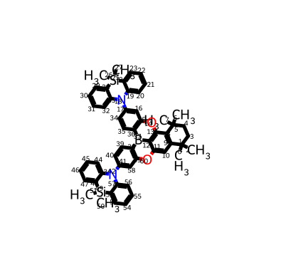 CC1(C)CCC(C)(C)c2c1cc1c3c2Oc2cc(N4c5ccccc5[Si](C)(C)c5ccccc54)ccc2B3c2ccc(N3c4ccccc4[Si](C)(C)c4ccccc43)cc2O1